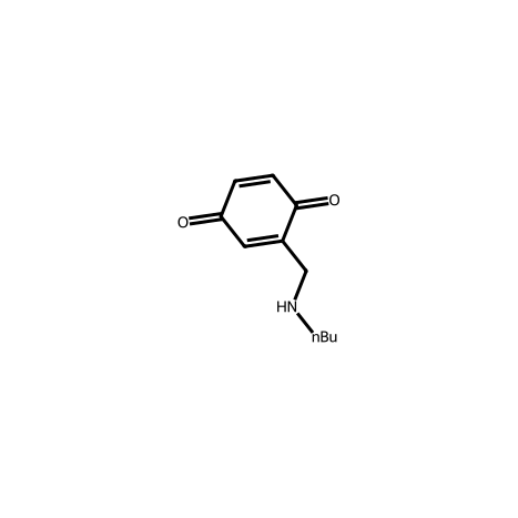 CCCCNCC1=CC(=O)C=CC1=O